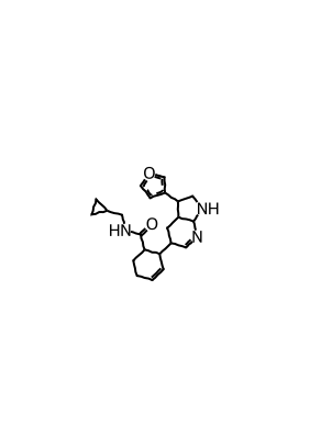 O=C(NCC1CC1)C1CCC=CC1C1C=NC2NCC(c3ccoc3)C2C1